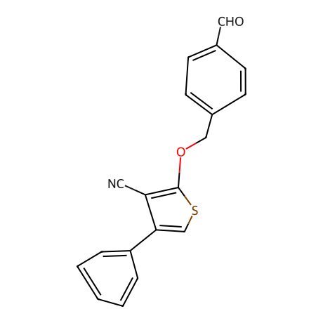 N#Cc1c(-c2ccccc2)csc1OCc1ccc(C=O)cc1